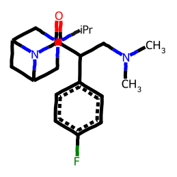 CC(C)N1CC2CC(C1)N2C(=O)C(CN(C)C)c1ccc(F)cc1